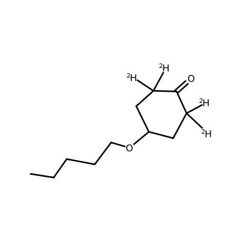 [2H]C1([2H])CC(OCCCCC)CC([2H])([2H])C1=O